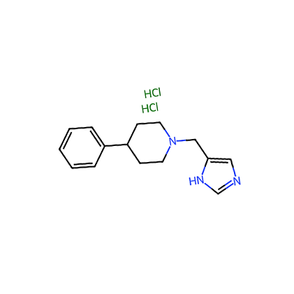 Cl.Cl.c1ccc(C2CCN(Cc3cnc[nH]3)CC2)cc1